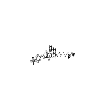 Nc1c(NC(=O)CCCCCC(F)CF)ccc(NCc2ccc(C(F)(F)F)cc2)c1F